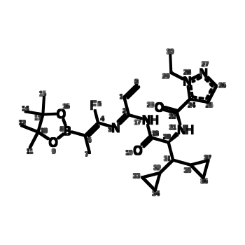 C=C/C(=N\C(F)=C(/C)B1OC(C)(C)C(C)(C)O1)NC(=O)[C@@H](NC(=O)c1ccnn1CC)C(C1CC1)C1CC1